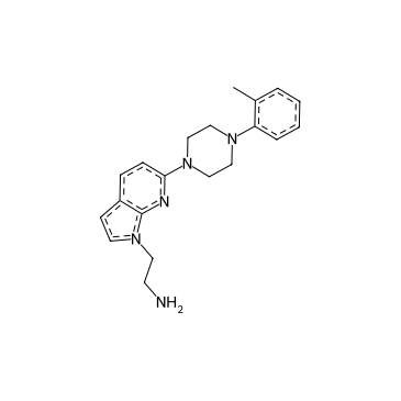 Cc1ccccc1N1CCN(c2ccc3ccn(CCN)c3n2)CC1